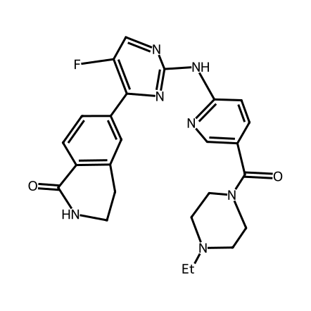 CCN1CCN(C(=O)c2ccc(Nc3ncc(F)c(-c4ccc5c(c4)CCNC5=O)n3)nc2)CC1